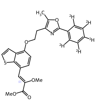 [2H]c1c([2H])c([2H])c(-c2nc(CCOc3ccc(/C=C(\OC)C(=O)OC)c4sccc34)c(C)o2)c([2H])c1[2H]